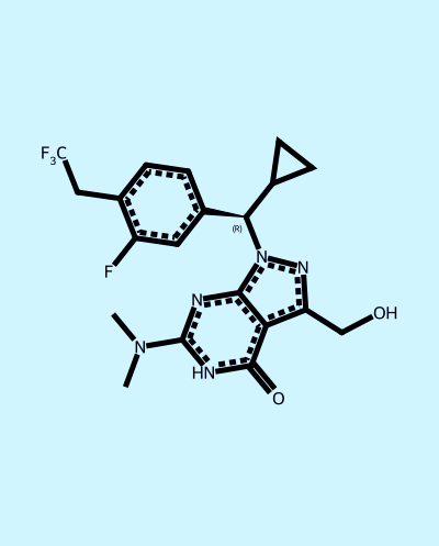 CN(C)c1nc2c(c(CO)nn2[C@@H](c2ccc(CC(F)(F)F)c(F)c2)C2CC2)c(=O)[nH]1